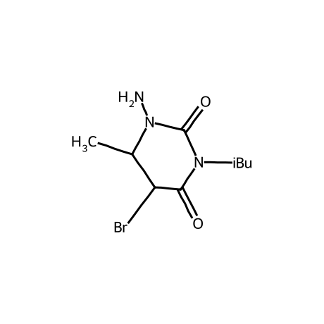 CCC(C)N1C(=O)C(Br)C(C)N(N)C1=O